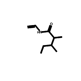 C=CNC(=O)C(C)C(C)CC